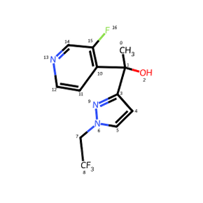 CC(O)(c1ccn(CC(F)(F)F)n1)c1ccncc1F